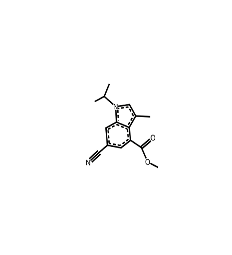 COC(=O)c1cc(C#N)cc2c1c(C)cn2C(C)C